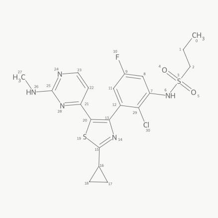 CCCS(=O)(=O)Nc1cc(F)cc(-c2nc(C3CC3)sc2-c2ccnc(NC)n2)c1Cl